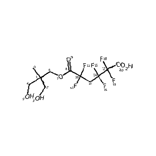 CC(CO)(CO)COC(=O)C(F)(F)CC(F)(F)C(F)(F)C(=O)O